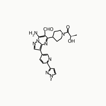 C[C@@H](O)C(=O)N1CCC(c2nc3c(-c4ccc(-c5ccn(C)n5)nc4)cnn3c(N)c2C=O)CC1